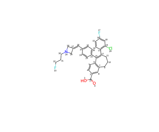 O=C(O)c1ccc2c(c1)CCCC(c1ccc(F)cc1Cl)=C2c1ccc(C=C2CN(CCCF)C2)cc1